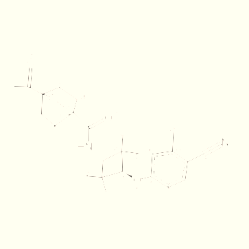 CC(=O)C12CCC(C(=O)N[C@H]3C(C)(C)[C@H](Oc4ccc(C#N)c(C)c4)C3(C)C)(CC1)CC2